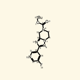 CC(C)(C)OC(=O)N1CCn2nc(-c3cncc(F)c3)nc2C1